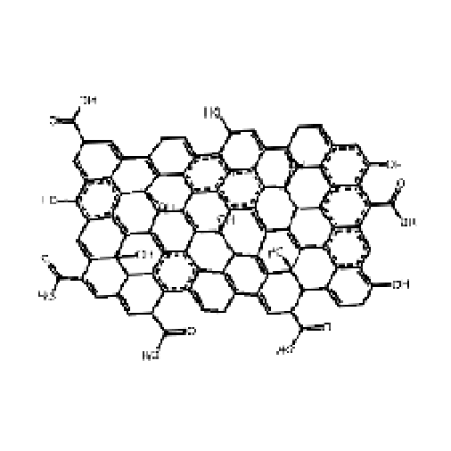 O=C(O)C1=CC2=CC(C(=O)O)c3c4c5c6c7c3=CCC3=C7C7C8=C9C3=CC(C(=O)O)C3C%10=CCC(O)=c%11cc%12c(C(=O)O)c%13c(O)cc%14c%15c%13c%13c%12c(c%11%10)C(=C%10C8=c8c%11c%12c%16c(c%17c%18c%19c%16c8C7(O)C6=C%19C6C=5C5=c7c(c(O)c8c%16c7C6(O)C%18=C(CC=%17)C%16=CC(C(=O)O)C=8)C=C1C5(O)C24)C(O)C=C%12C(=C%15C%11(O)C%10%13)CC=%14)C93O